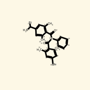 BC(CC)c1cc(C)c(C(=O)P(C(=O)c2c(C)cc(CCC)cc2C)c2ccccc2)c(C)c1